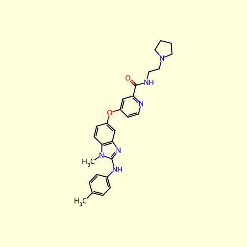 Cc1ccc(Nc2nc3cc(Oc4ccnc(C(=O)NCCN5CCCC5)c4)ccc3n2C)cc1